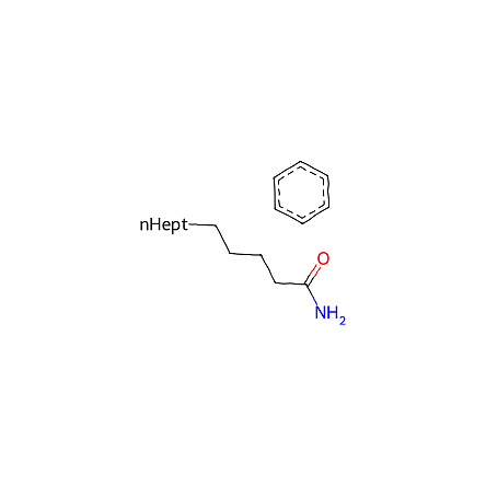 CCCCCCCCCCCC(N)=O.c1ccccc1